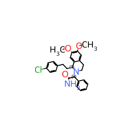 COc1cc2c(cc1OC)[C@H](CCc1ccc(Cl)cc1)N([C@@H](C(N)=O)c1ccccc1)CC2